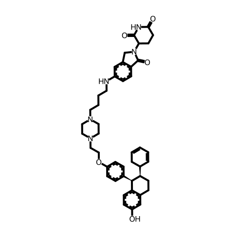 O=C1CCC(N2Cc3cc(NCCCCN4CCN(CCOc5ccc([C@@H]6c7ccc(O)cc7CC[C@@H]6C6C=CC=CC6)cc5)CC4)ccc3C2=O)C(=O)N1